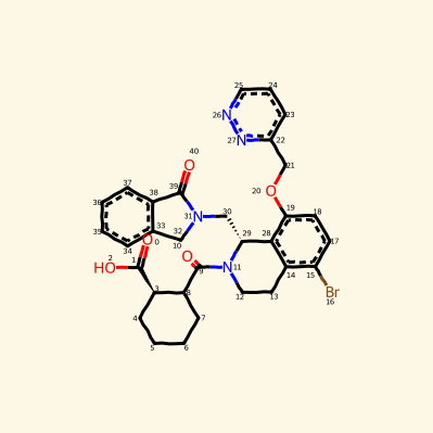 O=C(O)[C@@H]1CCCCC1C(=O)N1CCc2c(Br)ccc(OCc3cccnn3)c2[C@H]1CN1Cc2ccccc2C1=O